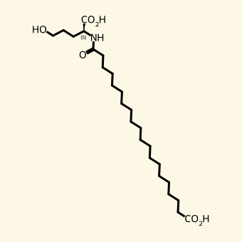 O=C(O)CCCCCCCCCCCCCCCCCCC(=O)N[C@@H](CCCO)C(=O)O